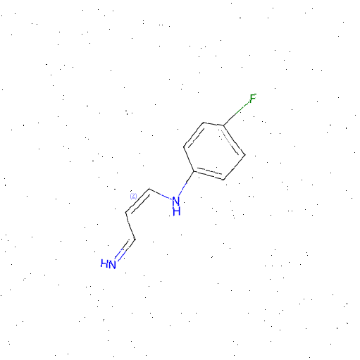 N=C/C=C\Nc1ccc(F)cc1